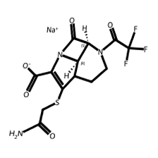 NC(=O)CSC1=C(C(=O)[O-])N2C(=O)[C@@H]3[C@H]2C1CCN3C(=O)C(F)(F)F.[Na+]